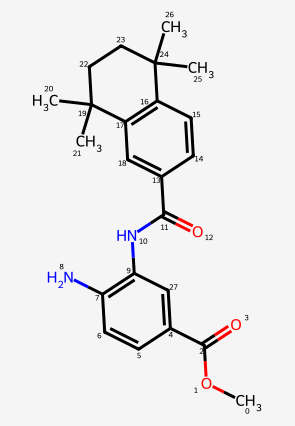 COC(=O)c1ccc(N)c(NC(=O)c2ccc3c(c2)C(C)(C)CCC3(C)C)c1